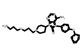 NCCCOCCCN1CCC(n2c(=O)n(-c3ccc(Oc4ccccc4)cc3)c3c(N)ncnc32)CC1